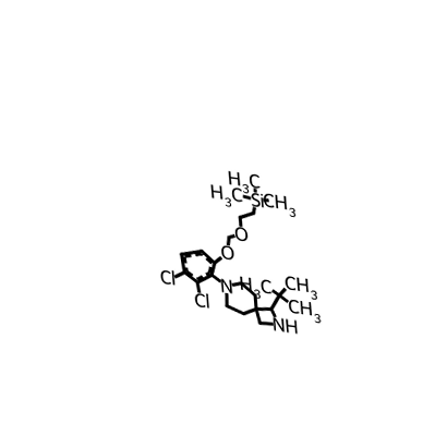 CC(C)(C)C1NCC12CCN(c1c(OCOCC[Si](C)(C)C)ccc(Cl)c1Cl)CC2